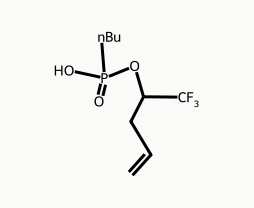 C=CCC(OP(=O)(O)CCCC)C(F)(F)F